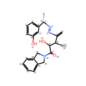 C=C(N=N[C@@H](C)c1cccc(O)c1)C(N=O)C(O)C(=O)N1Cc2ccccc2C1